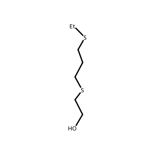 CCSCCCSCCO